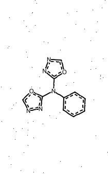 c1ccc(N(c2nnco2)c2nnco2)cc1